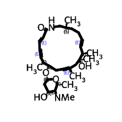 CN[C@H]1[C@@H](O)C[C@H](O[C@H]2C/C=C(\C)C[C@](C)(O)[C@H](C)/C=C/CC[C@H](C)CNC(=O)/C=C/C=C/[C@@H]2C)O[C@@H]1C